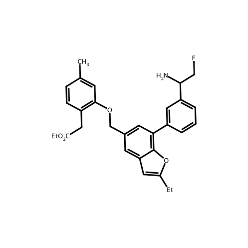 CCOC(=O)Cc1ccc(C)cc1OCc1cc(-c2cccc(C(N)CF)c2)c2oc(CC)cc2c1